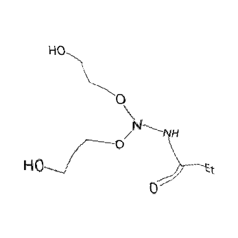 CCC(=O)NN(OCCO)OCCO